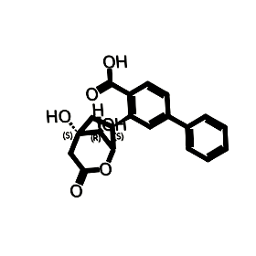 O=C1C[C@@]2(O)C[C@@H](c3cc(-c4ccccc4)ccc3C(=O)O)C(O1)[C@H]2O